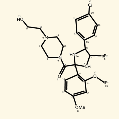 CCCC1NC(C(=O)N2CCN(CCO)CC2)(c2ccc(OC)cc2OC(C)C)NC1c1ccc(Cl)cc1